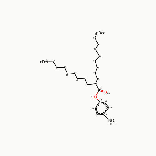 CCCCCCCCCCCCCCCCCCC(CCCCCCCCCCCCCCCCCC)C(=O)Oc1ccc([N+](=O)[O-])cc1